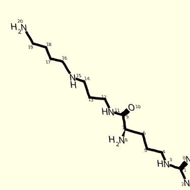 N=C(N)NCCC[C@@H](N)C(=O)NCCCNCCCCN